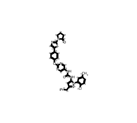 Cc1ccc(Cl)c(-n2nc(CC(C)C)cc2NC(=O)Nc2cnc(Oc3ccc(-c4cnc(N5CCCC5=O)s4)cc3)nc2)c1